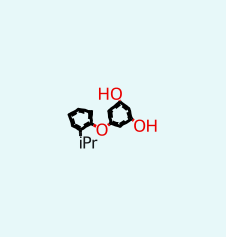 CC(C)c1ccccc1Oc1cc(O)cc(O)c1